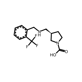 O=C(O)N1CC[C@H](CNCc2ccccc2C(F)(F)F)C1